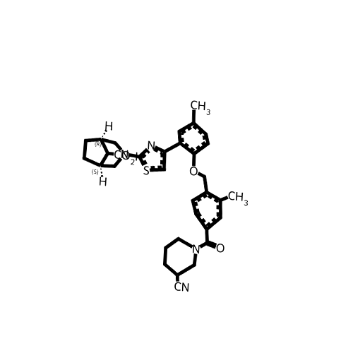 Cc1ccc(OCc2ccc(C(=O)N3CCCC(C#N)C3)cc2C)c(-c2csc(N3C[C@H]4CC[C@@H](C3)C4C(=O)O)n2)c1